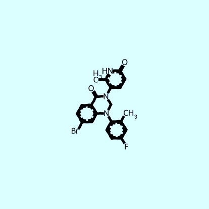 Cc1cc(F)ccc1N1CN(c2ccc(=O)[nH]c2C)C(=O)c2ccc(Br)cc21